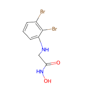 O=C(CNc1cccc(Br)c1Br)NO